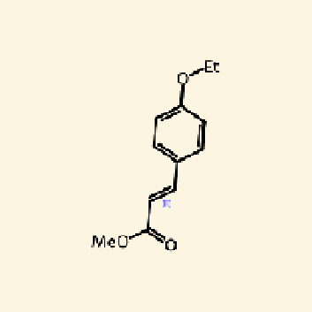 CCOc1ccc(/C=C/C(=O)OC)cc1